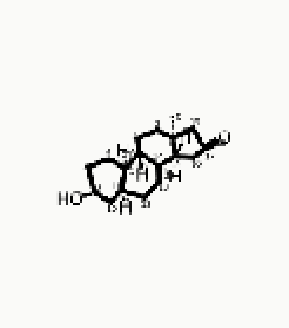 C[C@@]12CC[C@H]3[C@@H]4CC[C@H](O)C[C@@H]4CC[C@@H]3[C@H]1CC(=O)C2